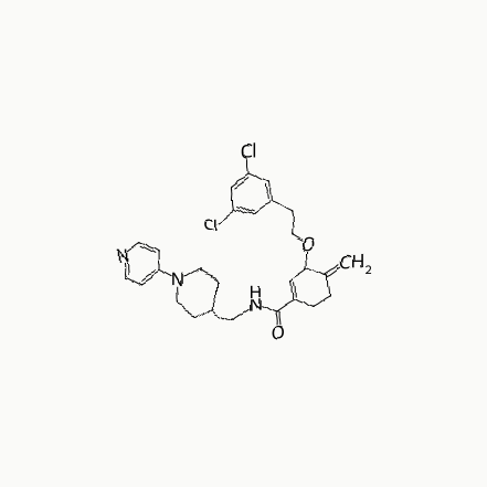 C=C1CCC(C(=O)NCC2CCN(c3ccncc3)CC2)=CC1OCCc1cc(Cl)cc(Cl)c1